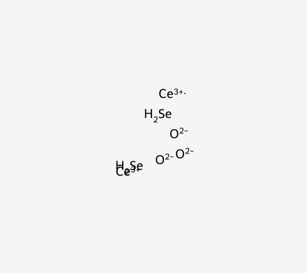 [Ce+3].[Ce+3].[O-2].[O-2].[O-2].[SeH2].[SeH2]